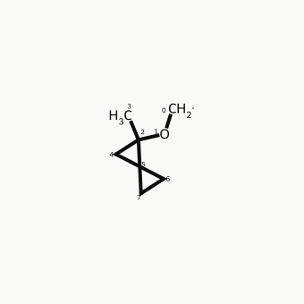 [CH2]OC1(C)CC12CC2